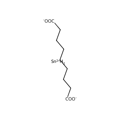 O=C([O-])CCCCCCCC(=O)[O-].[SnH2+2]